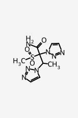 CC(n1ccnn1)C(C(N)=O)(n1ccnn1)S(C)(=O)=O